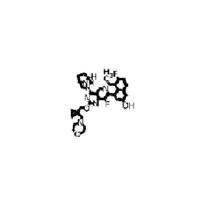 CCc1c(F)ccc2cc(O)cc(-c3ncc4c(N5CC6CC[C@@H](C5)N6)nc(OCC5(CN6CCOCC6)CC5)nc4c3F)c12